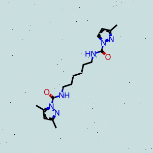 Cc1ccn(C(=O)NCCCCCCNC(=O)n2nc(C)cc2C)n1